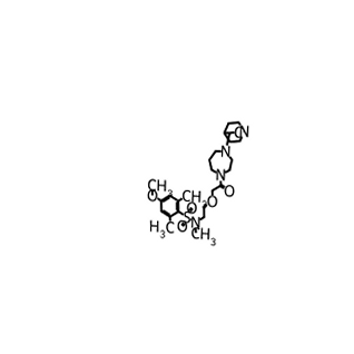 COc1cc(C)c(S(=O)(=O)N(C)CCOCC(=O)N2CCCN(C3CN4CCC3CC4)CC2)c(C)c1